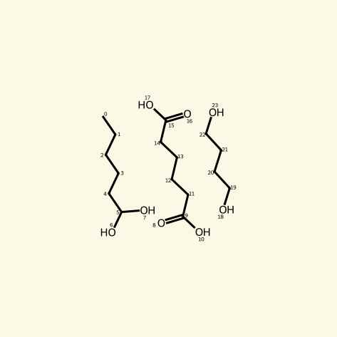 CCCCCC(O)O.O=C(O)CCCCC(=O)O.OCCCCO